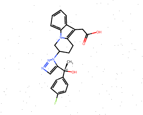 C[C@@](O)(c1ccc(F)cc1)c1cnnn1C1CCc2c(CC(=O)O)c3ccccc3n2C1